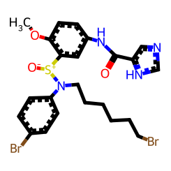 COc1ccc(NC(=O)c2cnc[nH]2)cc1[S+]([O-])N(CCCCCCBr)c1ccc(Br)cc1